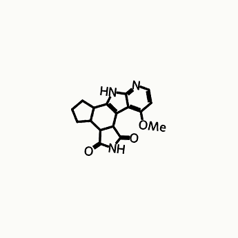 COc1ccnc2[nH]c3c(c12)C1C(=O)NC(=O)C1C1CCCC31